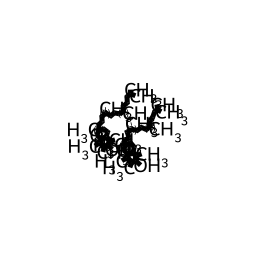 Cc1c(C)c2c(c(C)c1O)CC[C@@](C)(CCC[C@H](C)CCC[C@H](C)CCCC(C)C)O2.Cc1c(C)c2c(c(C)c1O)CC[C@@](C)(CCC[C@H](C)CCC[C@H](C)CCCC(C)C)O2